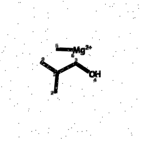 CC(C)CO.[CH3][Mg+2]